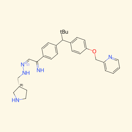 CC(C)(C)C(c1ccc(OCc2ccccn2)cc1)c1ccc(C(=N)/C=N\NC[C@@H]2CCNC2)cc1